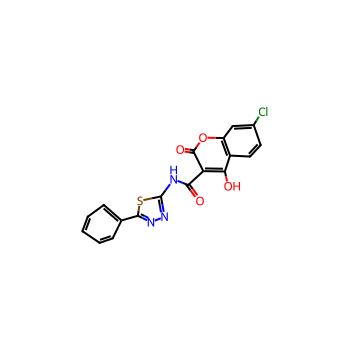 O=C(Nc1nnc(-c2ccccc2)s1)c1c(O)c2ccc(Cl)cc2oc1=O